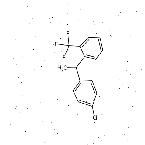 [CH2]C(c1ccc(Cl)cc1)c1ccccc1C(F)(F)F